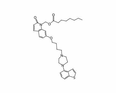 CCCCCCCC(=O)OCn1c(=O)ccc2ccc(OCCCCN3CCN(c4cccc5sccc45)CC3)cc21